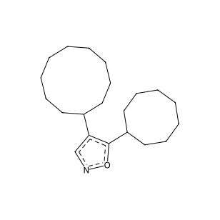 c1noc(C2CCCCCCC2)c1C1CCCCCCCCC1